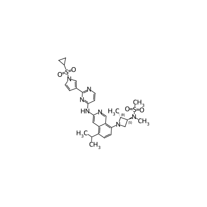 CC(C)c1ccc(N2C[C@H](N(C)S(C)(=O)=O)[C@H]2C)c2cnc(Nc3ccnc(-c4ccn(S(=O)(=O)C5CC5)c4)n3)cc12